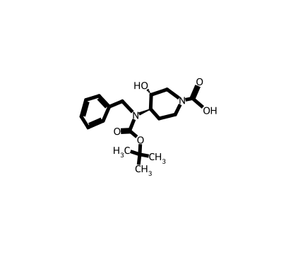 CC(C)(C)OC(=O)N(Cc1ccccc1)[C@@H]1CCN(C(=O)O)C[C@H]1O